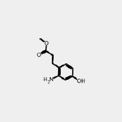 COC(=O)CCc1ccc(O)cc1N